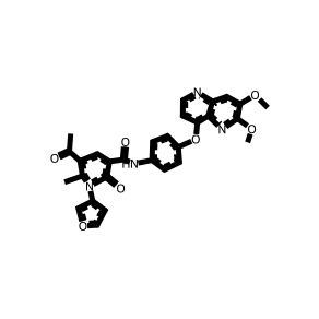 COc1cc2nccc(Oc3ccc(NC(=O)c4cc(C(C)=O)c(C)n(-c5ccoc5)c4=O)cc3)c2nc1OC